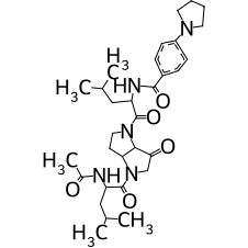 CC(=O)NC(CC(C)C)C(=O)N1CC(=O)C2C1CCN2C(=O)C(CC(C)C)NC(=O)c1ccc(N2CCCC2)cc1